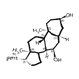 CCC[C@@H](C)[C@H]1CCC2[C@@H]3[C@H](O)C[C@@H]4C[C@H](O)CC[C@]4(C)[C@H]3CC[C@@]21C